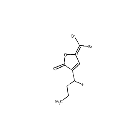 CCCC(F)C1=CC(=C(Br)Br)OC1=O